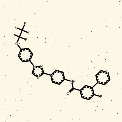 O=C(Nc1ccc(-c2ncn(-c3ccc(OC(F)(F)C(F)(F)F)cc3)n2)cc1)c1ccc(F)c(-c2ccccc2)c1